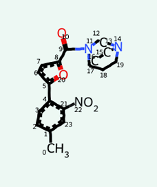 Cc1ccc(-c2ccc(C(=O)N3CCN4CCC3CC4)o2)c([N+](=O)[O-])c1